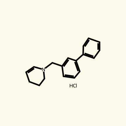 C1=CN(Cc2cccc(-c3ccccc3)c2)CCC1.Cl